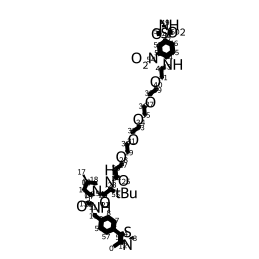 Cc1ncsc1-c1ccc(CNC(=O)[C@@H]2C[C@@H](C)CN2C(=O)C(NC(=O)CCOCCOCCOCCOCCOCCNc2ccc(S(N)(=O)=O)cc2[N+](=O)[O-])C(C)(C)C)cc1